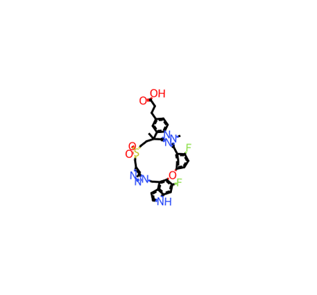 Cc1c2nnn1Cc1c(c(F)cc3[nH]ccc13)Oc1ccc(F)c(c1)-c1nc(nn1C)C(C)(c1cccc(CCC(=O)O)c1)CCS(=O)(=O)C2